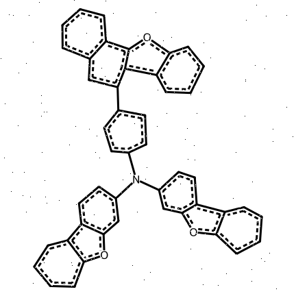 c1ccc2c(c1)cc(-c1ccc(N(c3ccc4c(c3)oc3ccccc34)c3ccc4c(c3)oc3ccccc34)cc1)c1c3ccccc3oc21